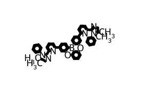 CC1(C)CN=C(c2cccc(-c3ccc4c(c3)Oc3cccc5c3B4c3ccc(-c4cccc(C6=NCC(C)(C)N6c6ccccc6)n4)cc3O5)n2)N1c1ccccc1